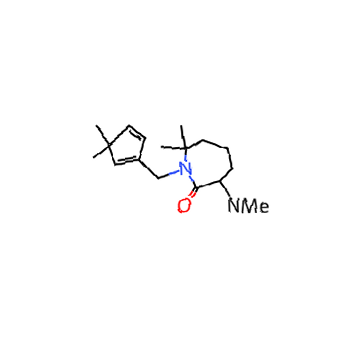 CNC1CCCC(C)(C)N(CC2=CC(C)(C)C=C2)C1=O